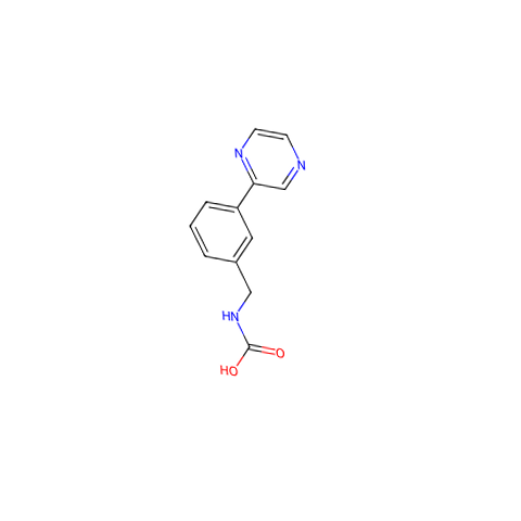 O=C(O)NCc1cccc(-c2cnccn2)c1